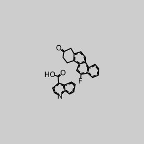 O=C(O)c1ccnc2ccccc12.O=C1CCc2c(ccc3c2cc(F)c2ccccc23)C1